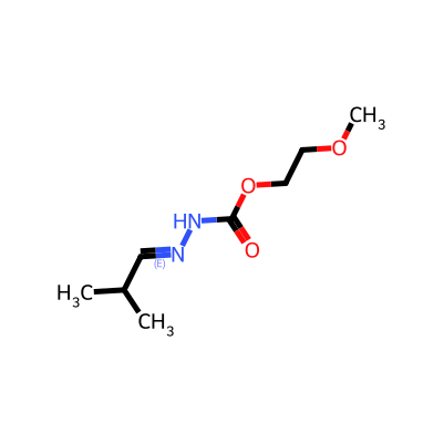 COCCOC(=O)N/N=C/C(C)C